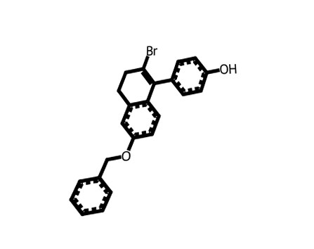 Oc1ccc(C2=C(Br)CCc3cc(OCc4ccccc4)ccc32)cc1